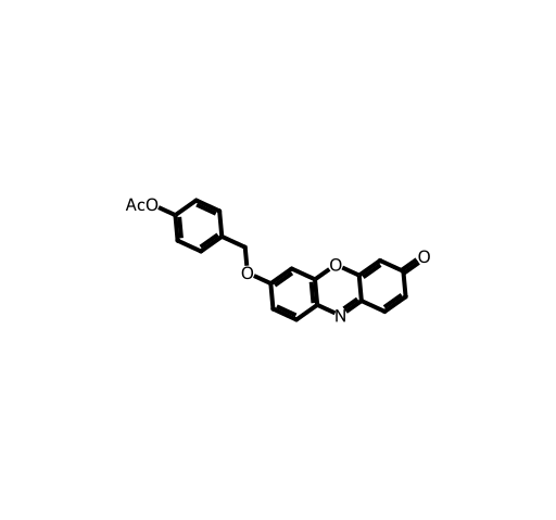 CC(=O)Oc1ccc(COc2ccc3nc4ccc(=O)cc-4oc3c2)cc1